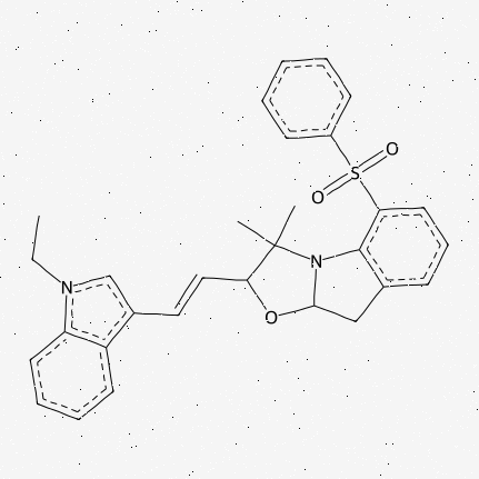 CCn1cc(C=CC2OC3Cc4cccc(S(=O)(=O)c5ccccc5)c4N3C2(C)C)c2ccccc21